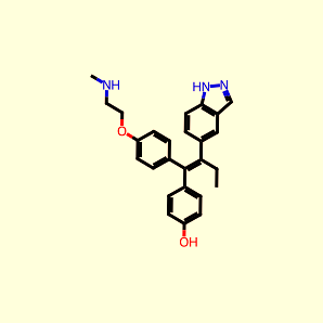 CC/C(=C(\c1ccc(O)cc1)c1ccc(OCCNC)cc1)c1ccc2[nH]ncc2c1